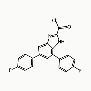 O=C(Cl)c1nc2cc(-c3ccc(F)cc3)cc(-c3ccc(F)cc3)c2[nH]1